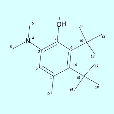 Cc1cc(N(C)C)c(O)c(C(C)(C)C)c1C(C)(C)C